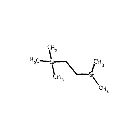 C[Si](C)CC[Si](C)(C)C